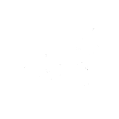 CC1=NN(c2ccc(C(=O)O)cc2)C(=O)C1Cc1cc(C)n(-c2ccccc2)c1C